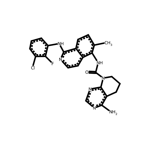 Cc1ccc2c(Nc3cccc(Cl)c3F)nccc2c1NC(=O)N1CCCc2c(N)ncnc21